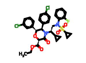 CCOC(=O)[C@@H]1O[C@H](c2cccc(Cl)c2)[C@@H](c2ccc(Cl)cc2)N([C@H](CN(c2ccccc2F)S(=O)(=O)C2CC2)C2CC2)C1=O